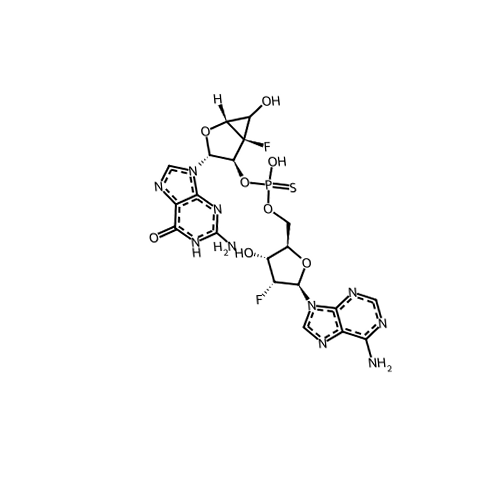 Nc1nc2c(ncn2[C@@H]2O[C@@H]3C(O)[C@]3(F)[C@H]2OP(O)(=S)OC[C@H]2O[C@@H](n3cnc4c(N)ncnc43)[C@H](F)[C@@H]2O)c(=O)[nH]1